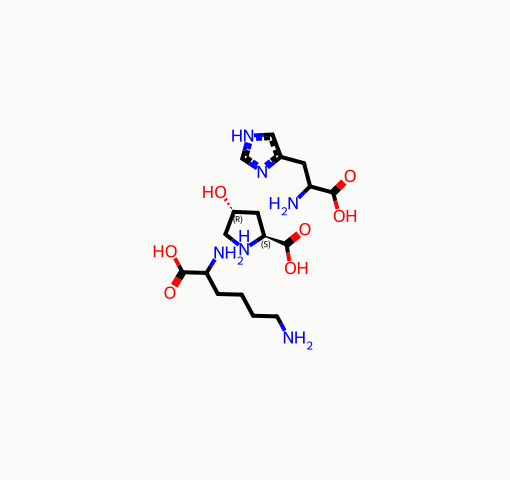 NC(Cc1c[nH]cn1)C(=O)O.NCCCCC(N)C(=O)O.O=C(O)[C@@H]1C[C@@H](O)CN1